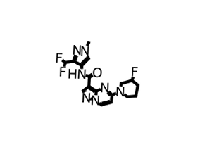 Cn1cc(NC(=O)c2cnn3ccc(N4CCCC(F)C4)nc23)c(C(F)F)n1